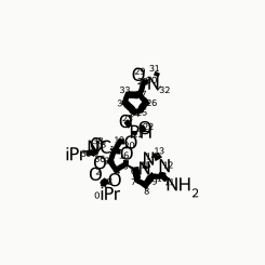 CC(C)C(=O)O[C@H]1[C@H](c2ccc3c(N)ncnn23)O[C@](C#N)(CO[PH](=O)Oc2ccc(C(=O)N(C)C)cc2)[C@H]1OC(=O)C(C)C